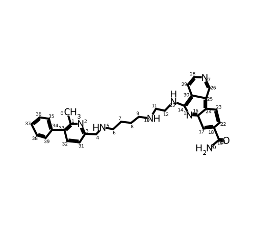 Cc1nc(CNCCCCNCCNc2nc3cc(C(N)=O)ccc3c3cnccc23)ccc1-c1ccccc1